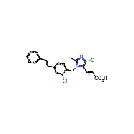 Cc1nc(Cl)c(/C=C/C(=O)O)n1Cc1ccc(C=Cc2ccccc2)cc1Cl